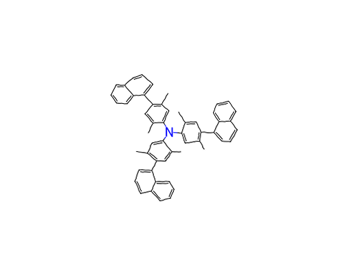 Cc1cc(N(c2cc(C)c(-c3cccc4ccccc34)cc2C)c2cc(C)c(-c3cccc4ccccc34)cc2C)c(C)cc1-c1cccc2ccccc12